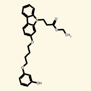 CCOC(=O)CCn1c2ccccc2c2ccc(OCCCCOc3cccc(O)c3)cc21